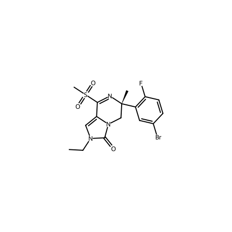 CCn1cc2n(c1=O)C[C@@](C)(c1cc(Br)ccc1F)N=C2S(C)(=O)=O